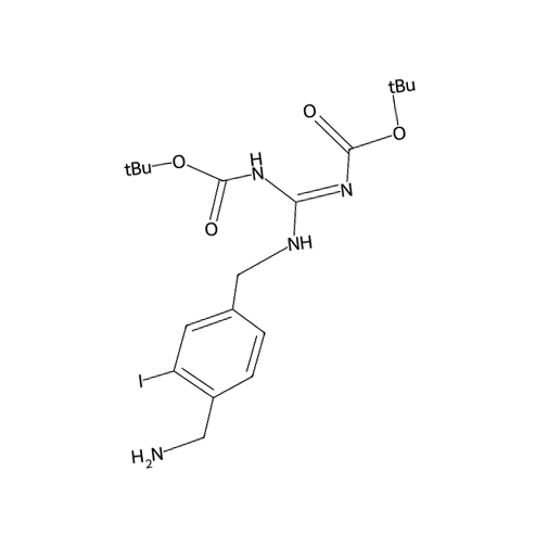 CC(C)(C)OC(=O)/N=C(/NCc1ccc(CN)c(I)c1)NC(=O)OC(C)(C)C